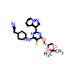 CC1(C)OC[C@@H](COc2nc(-c3cnn4ccccc34)nc(NC3CCC(CC#N)CC3)c2F)O1